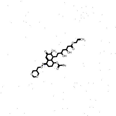 C=CCOC(=O)CC(O)CC(O)CCC1C(C)C(=O)C=C2/C(=N/OCC3COCOC3)CCC(OC(=O)C(C)CC)C21